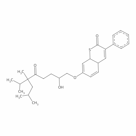 CC(C)CC(C)(C(=O)CCC(O)COC1=CC2SC(=O)C(c3ccccc3)=CC2C=C1)C(C)C